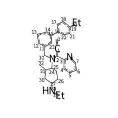 C=C=C(c1ccccn1)N(Cc1cccc(-c2ccc(CC)cc2)c1)C1CCC(NCC)CC1C